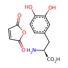 N[C@@H](Cc1ccc(O)c(O)c1)C(=O)O.O=C1C=CC(=O)O1